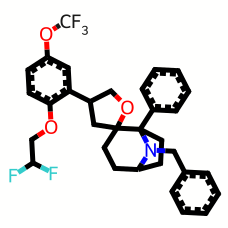 FC(F)COc1ccc(OC(F)(F)F)cc1C1COC2(CCC3CCC2(c2ccccc2)N3Cc2ccccc2)C1